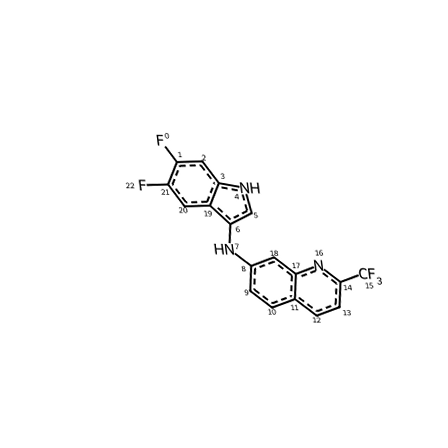 Fc1cc2[nH]cc(Nc3ccc4ccc(C(F)(F)F)nc4c3)c2cc1F